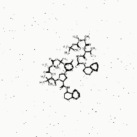 CC(C)C(NC(=O)[C@H](C)N(C)C(=O)OC(C)(C)C)C(=O)N[C@@H](Cc1ccc([C@H]2CC(C(=O)NC3CCCc4ccccc43)N(C(=O)[C@@H](NC(=O)[C@H](C)N(C)C(=O)OC(C)(C)C)C(C)(C)C)C2)cc1)C(=O)NC1CCCc2ccccc21